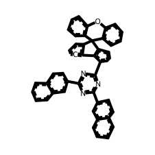 c1ccc2c(c1)Oc1ccccc1C21c2ccccc2-c2c(-c3nc(-c4ccc5ccccc5c4)nc(-c4ccc5ccccc5c4)n3)cccc21